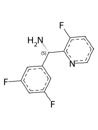 N[C@@H](c1cc(F)cc(F)c1)c1ncccc1F